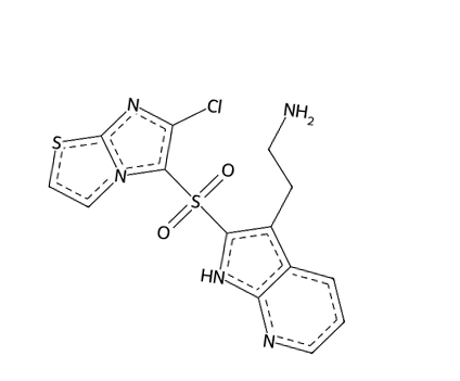 NCCc1c(S(=O)(=O)c2c(Cl)nc3sccn23)[nH]c2ncccc12